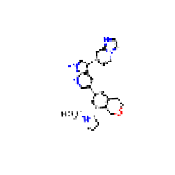 O=C(O)N1CCC[C@H]1c1cc(-c2cnc3[nH]cc(-c4ccn5ccnc5c4)c3c2)cc2c1COCC2